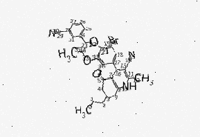 CCCC1CC(=O)C2=C(C1)NC(C)=C(C#N)C2c1cc(Br)c(OCc2cccc(C#N)c2)c(OCC)c1